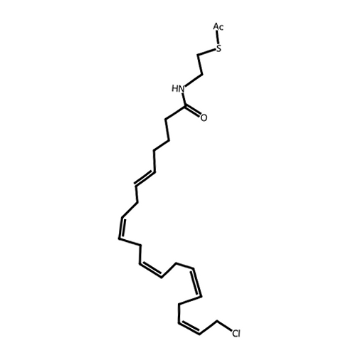 CC(=O)SCCNC(=O)CCC/C=C/C/C=C\C/C=C\C/C=C\C/C=C\CCl